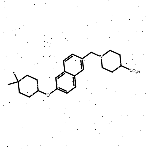 CC1(C)CCC(Oc2ccc3cc(CN4CCC(C(=O)O)CC4)ccc3c2)CC1